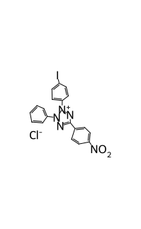 O=[N+]([O-])c1ccc(-c2nn(-c3ccccc3)[n+](-c3ccc(I)cc3)n2)cc1.[Cl-]